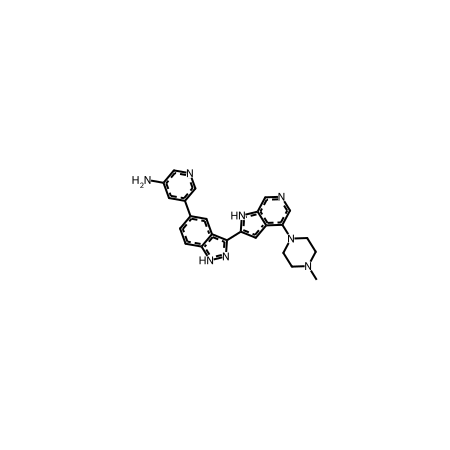 CN1CCN(c2cncc3[nH]c(-c4n[nH]c5ccc(-c6cncc(N)c6)cc45)cc23)CC1